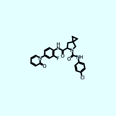 O=C(Nc1ccc(-n2ccccc2=O)cc1F)C1CC2(CC2)CN1C(=O)Nc1ccc(Cl)cc1